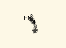 O=C1CC2(CCN1)CCN(CCCCCc1ccccc1)CC2